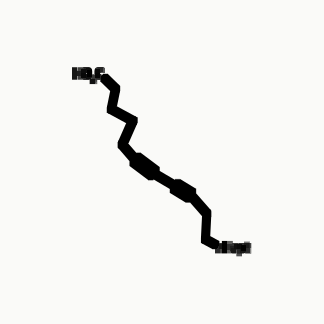 CCCCCCCCCC#CC#CCCCCC(=O)O